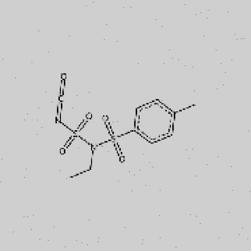 CCN(S(=O)(=O)N=C=O)S(=O)(=O)c1ccc(C)cc1